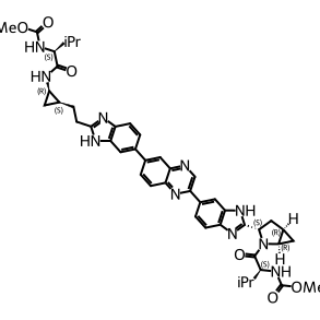 COC(=O)N[C@H](C(=O)N[C@@H]1C[C@@H]1CCc1nc2ccc(-c3ccc4nc(-c5ccc6nc([C@@H]7C[C@H]8C[C@H]8N7C(=O)[C@@H](NC(=O)OC)C(C)C)[nH]c6c5)cnc4c3)cc2[nH]1)C(C)C